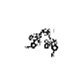 CCC(C)(OCCC(C)(C)OP(=O)(O)OCCOC1C(N2CCCC2=O)c2cc(C#N)ccc2OC1(C)C)C1C(N2CCCC2=O)c2cc(C#N)ccc2OC1(C)C